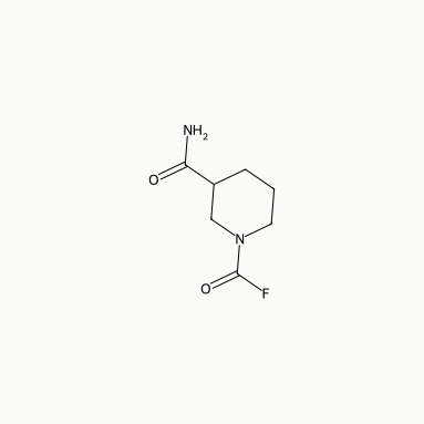 NC(=O)C1CCCN(C(=O)F)C1